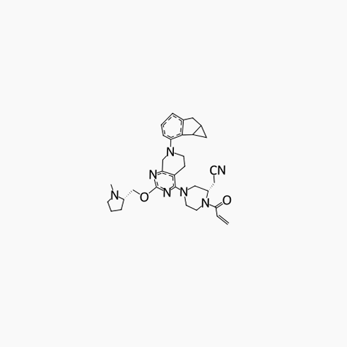 C=CC(=O)N1CCN(c2nc(OC[C@@H]3CCCN3C)nc3c2CCN(c2cccc4c2C2CC2C4)C3)C[C@@H]1CC#N